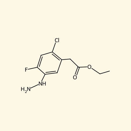 CCOC(=O)Cc1cc(NN)c(F)cc1Cl